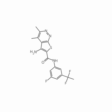 Cc1nnc2sc(C(=O)Nc3cc(F)cc(C(C)(F)F)c3)c(N)c2c1C